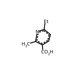 CCc1ccc(C(=O)O)c(C)n1